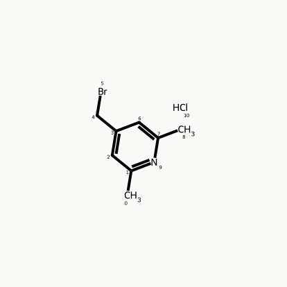 Cc1cc(CBr)cc(C)n1.Cl